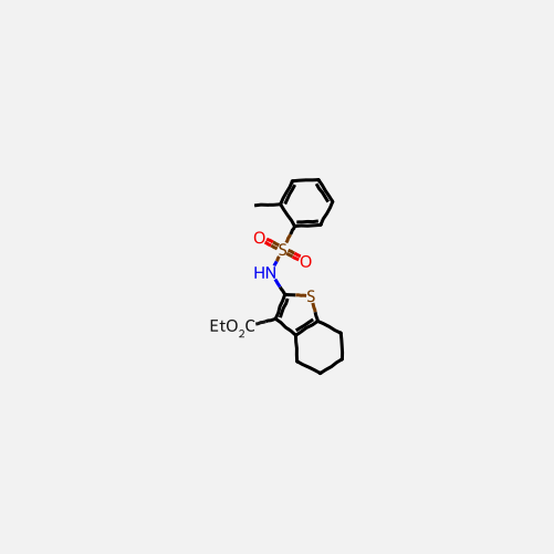 CCOC(=O)c1c(NS(=O)(=O)c2ccccc2C)sc2c1CCCC2